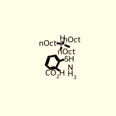 CCCCCCCC[PH](C)(CCCCCCCC)CCCCCCCC.N.O=C(O)c1ccccc1S